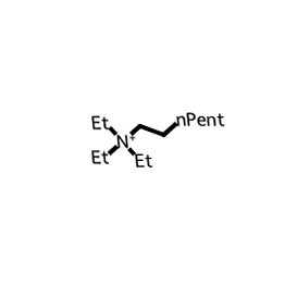 CCCCCCC[N+](CC)(CC)CC